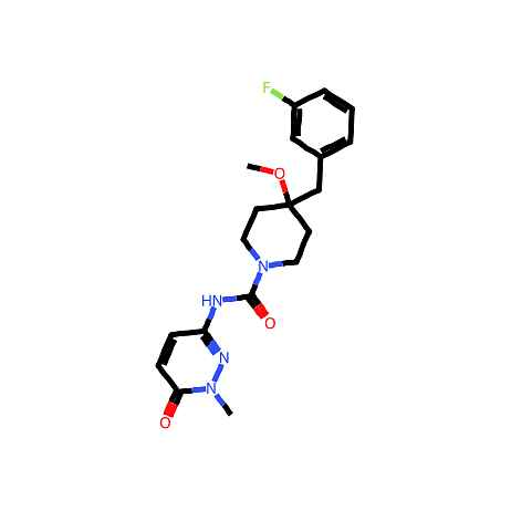 COC1(Cc2cccc(F)c2)CCN(C(=O)Nc2ccc(=O)n(C)n2)CC1